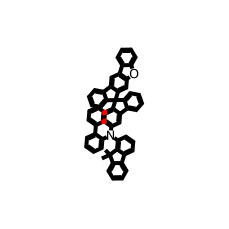 CC1(C)c2ccccc2-c2cccc(N(c3ccc4c(c3)-c3ccccc3C43c4ccccc4-c4cc5c(cc43)oc3ccccc35)c3ccccc3-c3ccccc3)c21